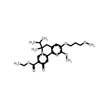 CCOC(=O)c1cn2c(cc1=O)-c1nc(OC)c(OCCCOC)cc1CC2(C)C(C)C